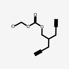 C#CCC(CC#C)COC(=O)OCCl